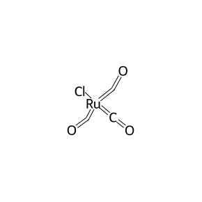 O=[C]=[Ru]([Cl])(=[C]=O)=[C]=O